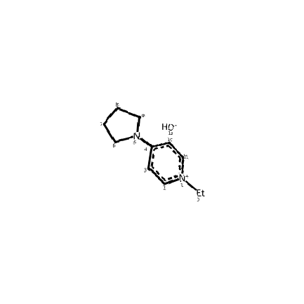 CC[n+]1ccc(N2CCCC2)cc1.[OH-]